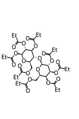 CCC(=O)OC[C@H]1O[C@@H](O[C@H]2[C@H](OC(=O)CC)[C@@H](OC(=O)CC)[C@H](OC(=O)CC)O[C@@H]2COC(=O)CC)[C@H](OC(=O)CC)[C@@H](OC(=O)CC)[C@H]1OC(=O)CC